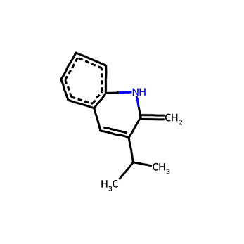 C=C1Nc2ccccc2C=C1C(C)C